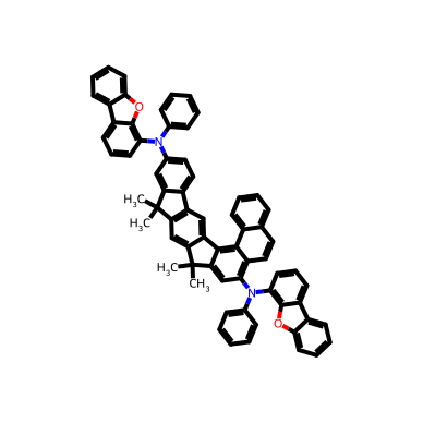 CC1(C)c2cc(N(c3ccccc3)c3cccc4c3oc3ccccc34)ccc2-c2cc3c(cc21)C(C)(C)c1cc(N(c2ccccc2)c2cccc4c2oc2ccccc24)c2ccc4ccccc4c2c1-3